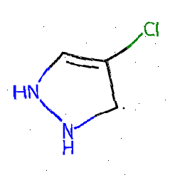 ClC1=CNN[CH]1